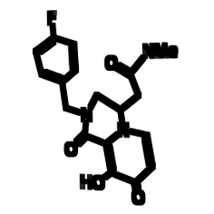 CNC(=O)CC1CN(Cc2ccc(F)cc2)C(=O)c2c(O)c(=O)ccn21